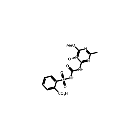 COc1nc(C)nc(NC(=O)NS(=O)(=O)c2ccccc2C(=O)O)[n+]1[O-]